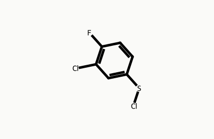 Fc1ccc(SCl)cc1Cl